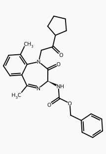 CC1=N[C@H](NC(=O)OCc2ccccc2)C(=O)N(CC(=O)C2CCCC2)c2c(C)cccc21